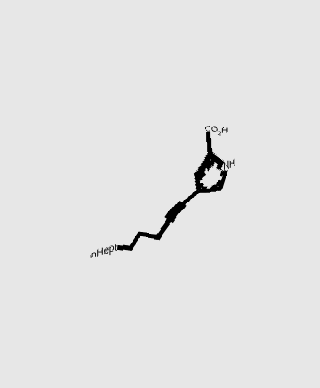 CCCCCCCCCCC#Cc1c[nH]c(C(=O)O)c1